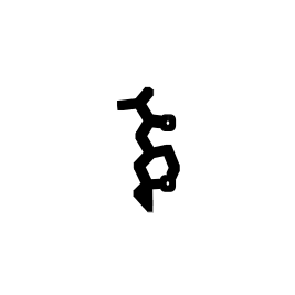 CC(C)C(=O)CC1CCOC2(CC2)C1